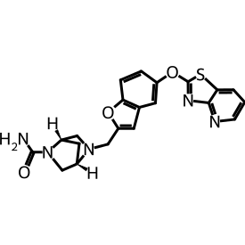 NC(=O)N1C[C@@H]2C[C@H]1CN2Cc1cc2cc(Oc3nc4ncccc4s3)ccc2o1